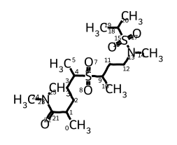 CC(CCC(C)S(=O)(=O)C(C)CCN(C)S(=O)(=O)C(C)C)C(=O)N(C)C